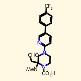 CNC1(CC=O)CN(c2ccc(-c3ccc(C(F)(F)F)cc3)cn2)CCN1C(=O)O